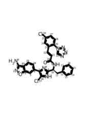 Nc1noc2cc(-c3nc([C@H](Cc4ccccc4)NC(=O)/C=C/c4cc(Cl)ccc4-n4cnnn4)[nH]c3Cl)ccc12